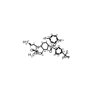 C=CCN([C@H]1CC[C@@](c2cc(F)ccc2F)(S(=O)(=O)c2ccc(C(F)(F)F)cc2)C[C@H]1CO)S(C)(=O)=O